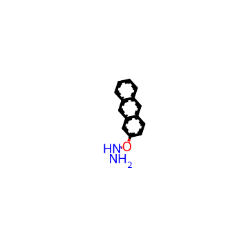 NNOc1ccc2cc3ccccc3cc2c1